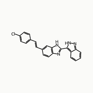 Clc1ccc(C=Cc2ccc3nc(-c4[nH]nc5ccccc45)[nH]c3c2)cc1